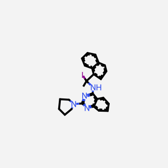 CC(I)(Nc1nc(N2CCCCC2)nc2ccccc12)c1cccc2ccccc12